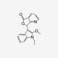 CCn1c(OC)c(C2OC(=O)c3cccnc32)c2ccccc21